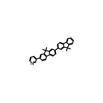 CC1(C)c2ccccc2-c2ccc(-c3ccc4c(c3)C(C)(C)c3cc(-c5cccnc5)ccc3-4)cc21